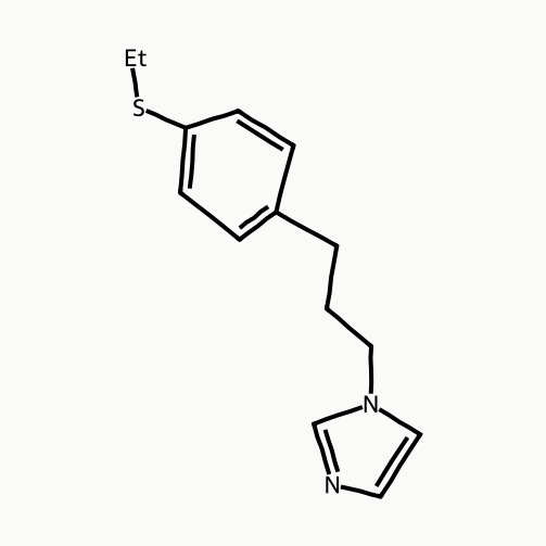 CCSc1ccc(CCCn2ccnc2)cc1